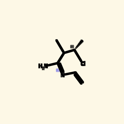 C=C/N=C(/N)C(C)[C@H](C)Cl